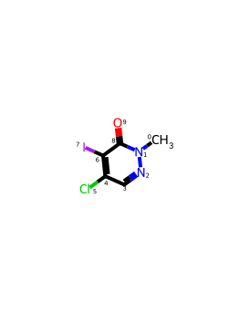 Cn1ncc(Cl)c(I)c1=O